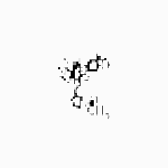 CC(=O)N1CCCC(CCn2c(Sc3cc4c(cc3Br)OCO4)nc3c(N)ncnc32)C1